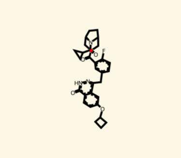 O=C(c1cc(Cc2n[nH]c(=O)c3ccc(OC4CCC4)cc23)ccc1F)N1CC2CCC(C1)N2C(=O)C1CC1